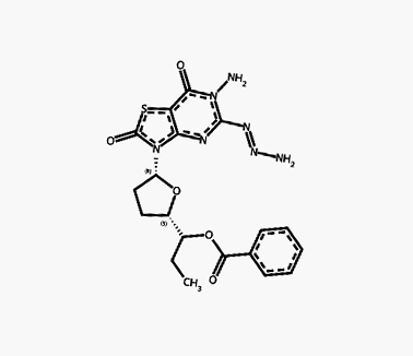 CCC(OC(=O)c1ccccc1)[C@@H]1CC[C@H](n2c(=O)sc3c(=O)n(N)c(N=NN)nc32)O1